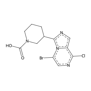 O=C(O)N1CCCC(c2ncc3c(Cl)ncc(Br)n23)C1